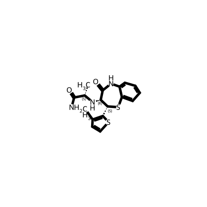 Cc1ccsc1[C@H]1Sc2ccccc2NC(=O)[C@H]1N[C@@H](C)C(N)=O